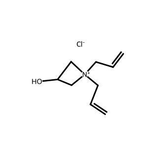 C=CC[N+]1(CC=C)CC(O)C1.[Cl-]